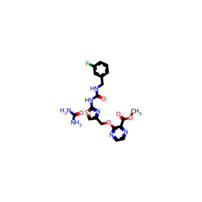 COC(=O)c1nccnc1OCc1csc(NC(=O)NCc2cccc(F)c2)n1.NC(N)=O